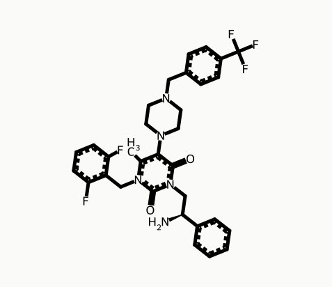 Cc1c(N2CCN(Cc3ccc(C(F)(F)F)cc3)CC2)c(=O)n(C[C@H](N)c2ccccc2)c(=O)n1Cc1c(F)cccc1F